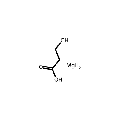 O=C(O)CCO.[MgH2]